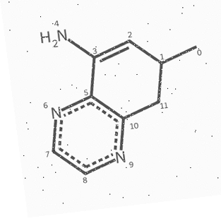 CC1C=C(N)c2nccnc2C1